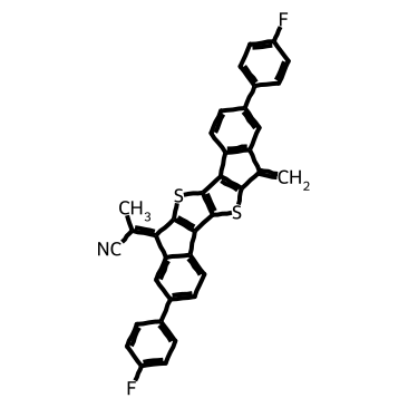 C=C1c2cc(-c3ccc(F)cc3)ccc2-c2c1sc1c3c(sc21)/C(=C(\C)C#N)c1cc(-c2ccc(F)cc2)ccc1-3